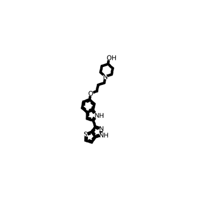 OC1CCN(CCCOc2ccc3cc(-c4n[nH]c5ccsc45)[nH]c3c2)CC1